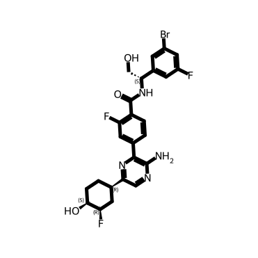 Nc1ncc([C@@H]2CC[C@H](O)[C@H](F)C2)nc1-c1ccc(C(=O)N[C@H](CO)c2cc(F)cc(Br)c2)c(F)c1